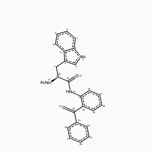 CC(=O)N[C@@H](Cc1c[nH]c2ccccc12)C(=O)Nc1ccccc1C(=O)c1ccccc1